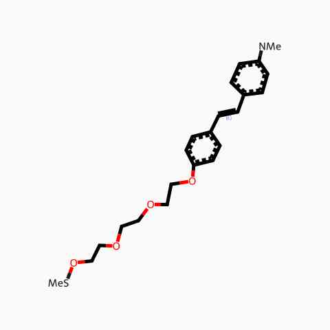 CNc1ccc(/C=C/c2ccc(OCCOCCOCCOSC)cc2)cc1